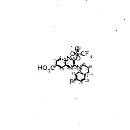 O=C(O)c1ccc2nc(OS(=O)(=O)C(F)(F)F)c(N3CCCc4ccc(F)cc43)nc2c1